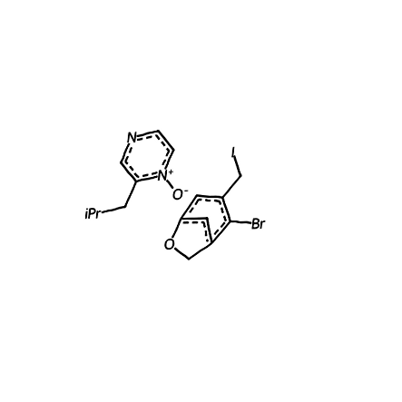 Brc1c(CI)cc2cc1CO2.CC(C)Cc1cncc[n+]1[O-]